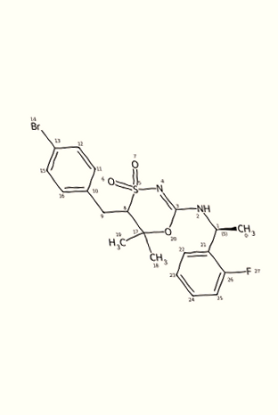 C[C@H](NC1=NS(=O)(=O)C(Cc2ccc(Br)cc2)C(C)(C)O1)c1ccccc1F